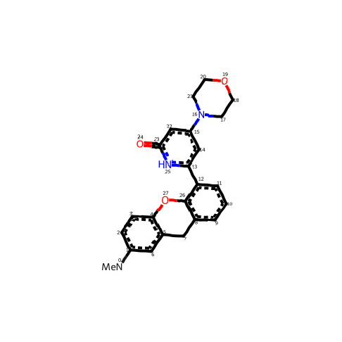 CNc1ccc2c(c1)Cc1cccc(-c3cc(N4CCOCC4)cc(=O)[nH]3)c1O2